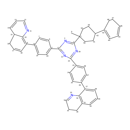 CC1(c2nc(-c3ccc(C4=C5N=CC=CC5CC=C4)cc3)nc(-c3ccc(-c4cccc5c4N=CCC5)cc3)n2)CCC(C2=CC=CCC2)CC1